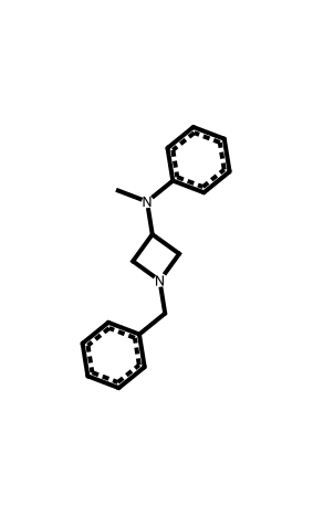 CN(c1ccccc1)C1CN(Cc2ccccc2)C1